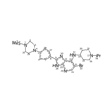 CSN1CCN(c2ccc(-c3nc4c(NC5CCN(C(C)C)CC5)c(Br)cnc4[nH]3)cc2)CC1